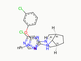 CCCn1nc(N[C@H]2[C@@H]3CC[C@H]2CN(c2cc(Cl)ncn2)C3)nc1Oc1cccc(Cl)c1